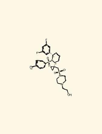 O=S(=O)(CC1([C@H]2CCC[C@@H](c3cc(F)cc(F)c3)N2S(=O)(=O)c2ccc(Cl)cc2)CC1)N1CCN(CCO)CC1